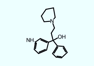 N.OC(CCN1CCCCC1)(c1ccccc1)c1ccccc1